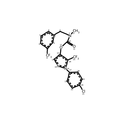 CN(Cc1cccc(C(F)(F)F)c1)C(=O)Oc1cnn(-c2ccc(Cl)cc2)c1C(F)(F)F